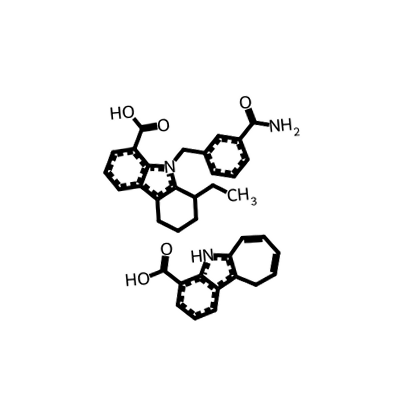 CCC1CCCc2c1n(Cc1cccc(C(N)=O)c1)c1c(C(=O)O)cccc21.O=C(O)c1cccc2c3c([nH]c12)C=CC=CC3